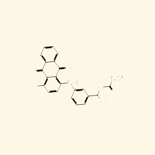 CNC(=O)OC(C)c1cccc(Nc2ccc(O)c3c2C(=O)c2ccccc2C3=O)c1